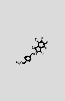 C=Cc1ccc(CON2C(=O)c3c(F)c(F)c(F)c(F)c3C2=O)cc1